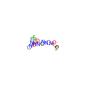 O=C(Nc1ccc(N2CCCN(C(=O)Cc3cccs3)CC2)nc1)c1oc(N2CCCCC2)nc1C(F)(F)F